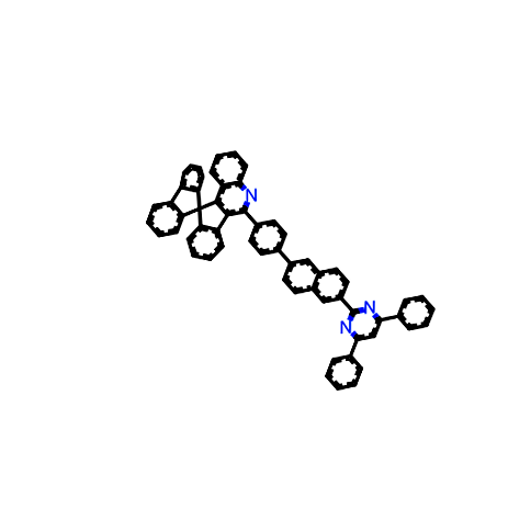 c1ccc(-c2cc(-c3ccccc3)nc(-c3ccc4cc(-c5ccc(-c6nc7ccccc7c7c6-c6ccccc6C76c7ccccc7-c7ccccc76)cc5)ccc4c3)n2)cc1